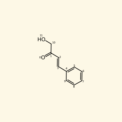 O=C(/C=C/c1ccccc1)CO